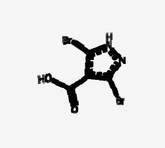 O=C(O)c1c(Br)n[nH]c1Br